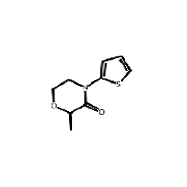 CC1OCCN(c2cccs2)C1=O